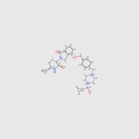 C=C1CCC(N2Cc3c(OCc4ccc(CN5CCN(C(=O)C6CC6)CC5)cc4)cccc3C2=O)C(=O)N1